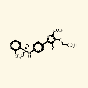 O=C(O)COc1c(C(=O)O)sc(-c2ccc(NS(=O)(=O)c3ccccc3C(F)(F)F)cc2)c1Cl